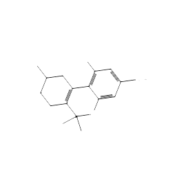 CCCCCCc1cc(O)c2c(c1)OC(C)(C)C1=C2CC(C)CC1